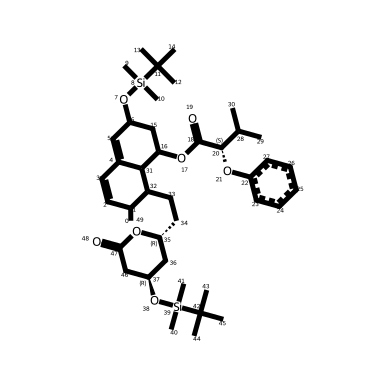 CC1C=CC2=CC(O[Si](C)(C)C(C)(C)C)CC(OC(=O)[C@@H](Oc3ccccc3)C(C)C)C2C1CC[C@@H]1C[C@@H](O[Si](C)(C)C(C)(C)C)CC(=O)O1